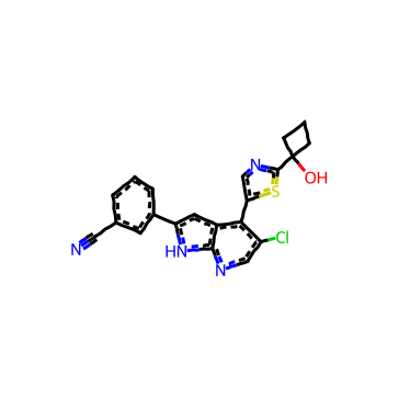 N#Cc1cccc(-c2cc3c(-c4cnc(C5(O)CCC5)s4)c(Cl)cnc3[nH]2)c1